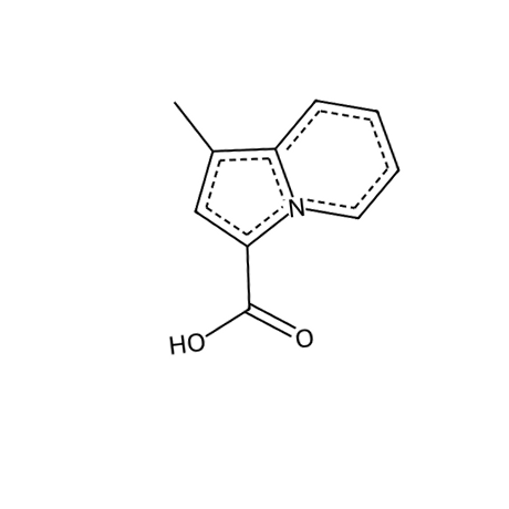 Cc1cc(C(=O)O)n2ccccc12